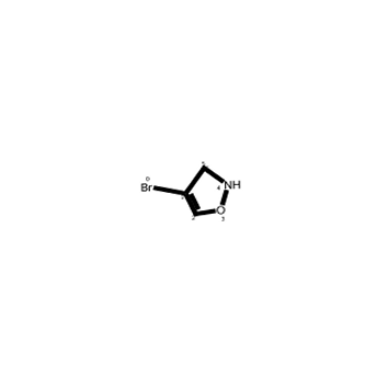 BrC1=CON[C]1